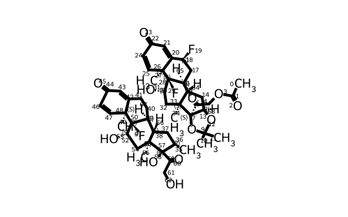 CC(=O)OCC(=O)[C@@]12OC(C)(C)O[C@@H]1C[C@H]1[C@@H]3C[C@H](F)C4=CC(=O)C=C[C@]4(C)[C@@]3(F)[C@@H](O)C[C@@]12C.C[C@@H]1C[C@H]2[C@@H]3CCC4=CC(=O)C=C[C@]4(C)[C@@]3(F)[C@@H](O)C[C@]2(C)[C@@]1(O)C(=O)CO